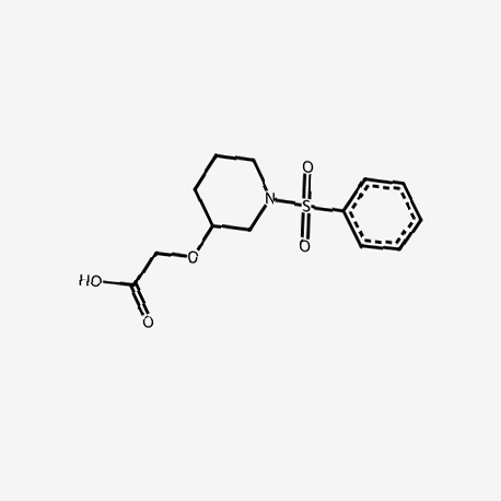 O=C(O)COC1CCCN(S(=O)(=O)c2ccccc2)C1